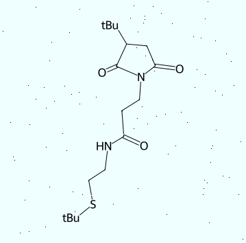 CC(C)(C)SCCNC(=O)CCN1C(=O)CC(C(C)(C)C)C1=O